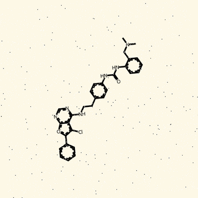 CN(C)Cc1ccccc1NC(=O)Nc1ccc(CCNc2ncnc3oc(-c4ccccc4)c(Cl)c23)cc1